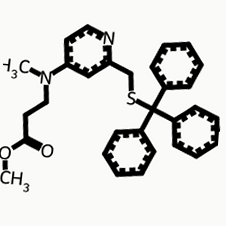 COC(=O)CCN(C)c1ccnc(CSC(c2ccccc2)(c2ccccc2)c2ccccc2)c1